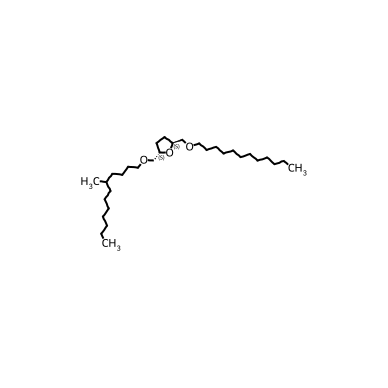 CCCCCCCCCCCCOC[C@@H]1CC[C@@H](COCCCCC(C)CCCCCCC)O1